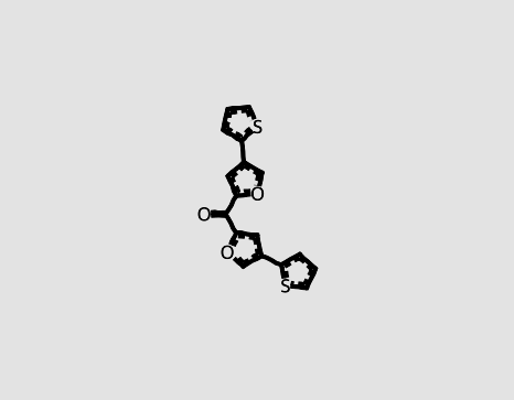 O=C(c1cc(-c2cccs2)co1)c1cc(-c2cccs2)co1